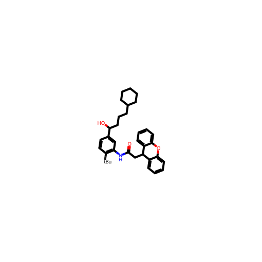 CC(C)(C)c1ccc(C(O)CCCC2CCCCC2)cc1NC(=O)CC1c2ccccc2Oc2ccccc21